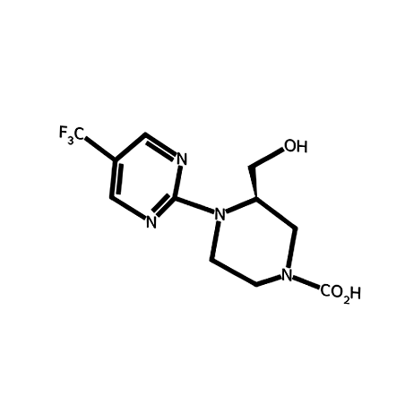 O=C(O)N1CCN(c2ncc(C(F)(F)F)cn2)[C@@H](CO)C1